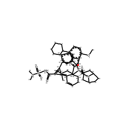 COc1ccc(C2CCCCC2)c2c1cc1n2CC2=C(C(=O)NS(=O)(=O)N(C)C)C2=C2C=CC[C@@H](C(=O)N3C4CCC3CC(N(CCN(C)C)Cc3ccccc3)C4)C21